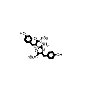 CCCCOC(=O)C(Cc1ccc(O)cc1)N=C(N)NC(Cc1ccc(O)cc1)C(=O)OCCCC